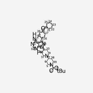 CC(C)(C)OC(=O)N1CCC(N2CCC(n3nc(-c4ccc(Oc5ccccc5)cc4)c4c(N)ncnc43)C(F)C2)CC1